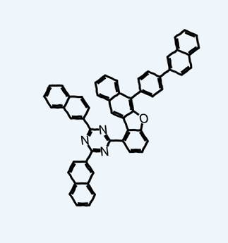 c1ccc2cc(-c3ccc(-c4c5ccccc5cc5c4oc4cccc(-c6nc(-c7ccc8ccccc8c7)nc(-c7ccc8ccccc8c7)n6)c45)cc3)ccc2c1